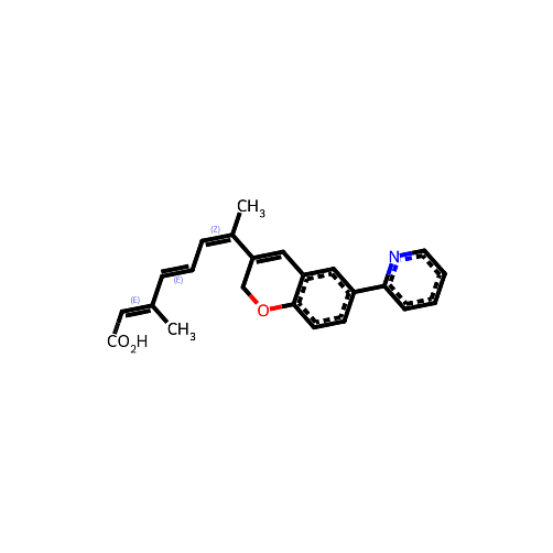 C/C(=C/C=C/C(C)=C/C(=O)O)C1=Cc2cc(-c3ccccn3)ccc2OC1